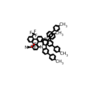 Cc1ccc(-c2ccc3c(c2)c2cc(-c4ccc(C)cc4)ccc2n3-c2ccc(-c3c(C(F)(F)F)cccc3C(F)(F)F)c(-c3cc(C#N)ccc3-n3c4ccc(-c5ccc(C)cc5)cc4c4cc(-c5ccc(C)cc5)ccc43)c2)cc1